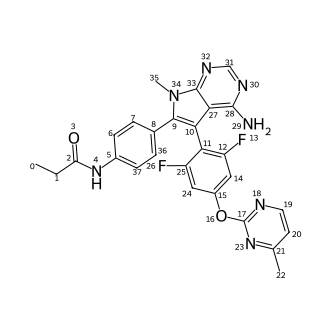 CCC(=O)Nc1ccc(-c2c(-c3c(F)cc(Oc4nccc(C)n4)cc3F)c3c(N)ncnc3n2C)cc1